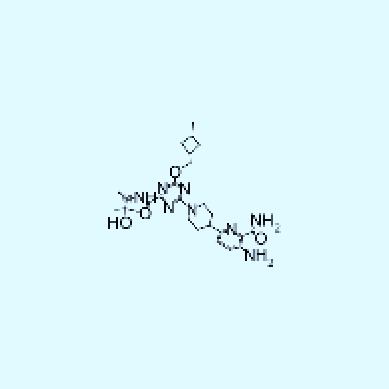 C[C@@H](NC(=O)c1nc(OC[C@H]2C[C@H](C)C2)nc(N2CCC(c3ccc(N)c(C(N)=O)n3)CC2)n1)C(C)(C)O